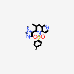 CC1=C(c2cncn2C)N(S(=O)(=O)c2ccc(C)cc2)c2ccncc2C1